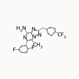 Cc1c(-c2cc(F)ccc2F)nc(N)c2nc(Cc3ccc(C(F)(F)F)cc3)nn12